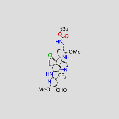 COC1=C(CNC(=O)OC(C)(C)C)C=C(Cl)C(c2ccncc2)(c2cccc3c2CC[C@@H]3Nc2nc(OC)c(C=O)cc2C(F)(F)F)N1